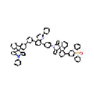 O=P(c1ccccc1)(c1ccccc1)c1ccc(-c2cccc3c2-c2ccccc2C32c3ccccc3N(c3ccc(-c4ccc(-c5cccc(-c6ccc7c(c6)-c6ccccc6C76c7ccccc7N(c7ccccc7)c7ccccc76)c5)c5ccc(-c6ccccc6)nc45)cc3)c3ccccc32)cc1